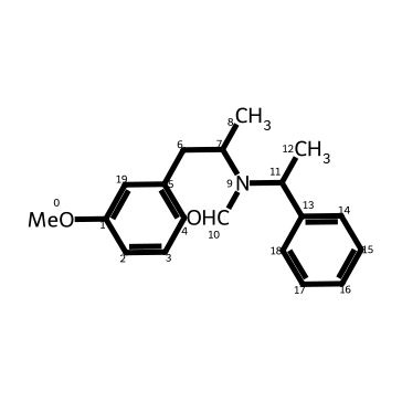 COc1cccc(CC(C)N(C=O)C(C)c2ccccc2)c1